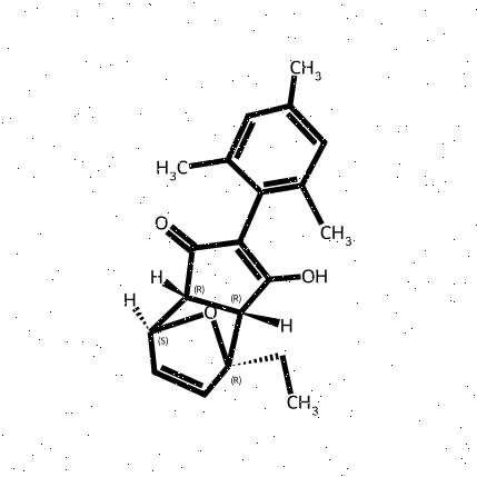 CC[C@]12C=C[C@H](O1)[C@@H]1C(=O)C(c3c(C)cc(C)cc3C)=C(O)[C@@H]12